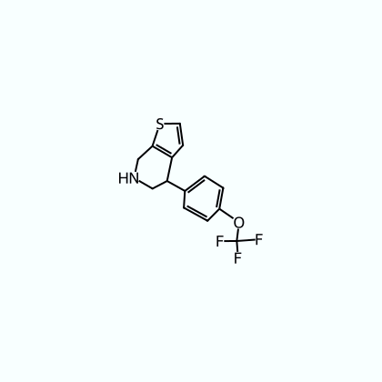 FC(F)(F)Oc1ccc(C2CNCc3sccc32)cc1